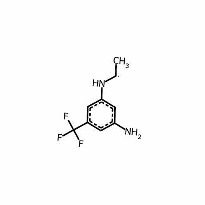 C[CH]Nc1cc(N)cc(C(F)(F)F)c1